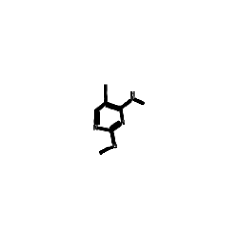 CNc1nc(OC)ncc1C